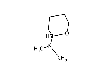 CN(C)[SiH]1CCCCO1